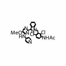 COc1cnc(-c2nn(Cc3c(Cl)ccc(NC(C)=O)c3Cl)c3ccccc23)nc1Nc1ccncc1